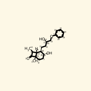 CC1C(=O)[C@@]2(C)CC[C@@H](O)[C@H](CC[C@@H](O)COc3ccccc3)[C@@H]12